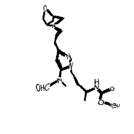 CC(CCn1nc(CCN2CC3CC2CO3)cc1N(C)C=O)NC(=O)OC(C)(C)C